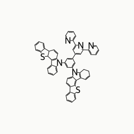 C1=Cc2c(n(-c3cc(-c4cc(-c5ccccn5)nc(-c5ccccn5)c4)cc(-n4c5c(c6ccccc64)C4Sc6ccccc6C4C=C5)c3)c3ccc4c5ccccc5sc4c23)CC1